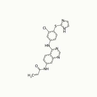 C=CC(=O)Nc1ccc2c(Nc3ccc(Sc4ncc[nH]4)c(Cl)c3)ncnc2c1